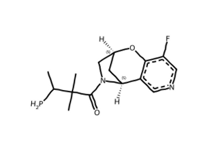 CC(P)C(C)(C)C(=O)N1C[C@@H]2C[C@H]1c1cncc(F)c1O2